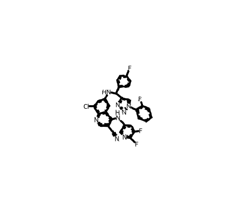 N#Cc1cnc2c(Cl)cc(NC(c3ccc(F)cc3)c3cn(-c4ccccc4F)nn3)cc2c1Nc1cnc(F)c(F)c1